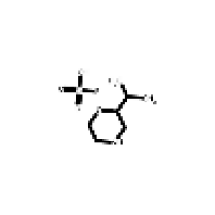 CC(C)C1CNCCO1.O=S(=O)(O)F